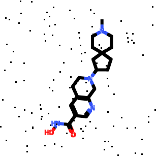 CN1CCC2(CCC(N3CCc4cc(C(=O)NO)cnc4C3)C2)CC1